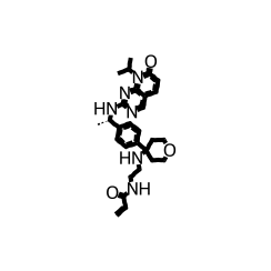 C=CC(=O)NCCNC1(c2ccc([C@H](C)Nc3ncc4ccc(=O)n(C(C)C)c4n3)cc2)CCOCC1